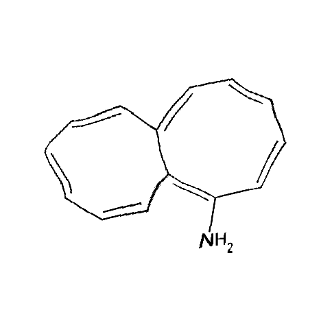 Nc1cccccc2ccccccc1-2